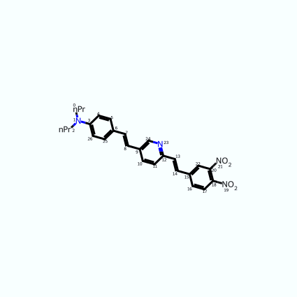 CCCN(CCC)c1ccc(C=Cc2ccc(C=Cc3ccc([N+](=O)[O-])c([N+](=O)[O-])c3)nc2)cc1